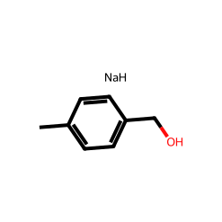 Cc1ccc(CO)cc1.[NaH]